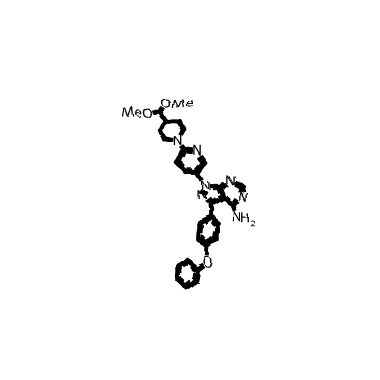 COC(OC)C1CCN(c2ccc(-n3nc(-c4ccc(Oc5ccccc5)cc4)c4c(N)ncnc43)cn2)CC1